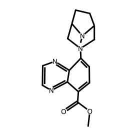 COC(=O)c1ccc(N2CC3CCC(C2)N3C)c2nccnc12